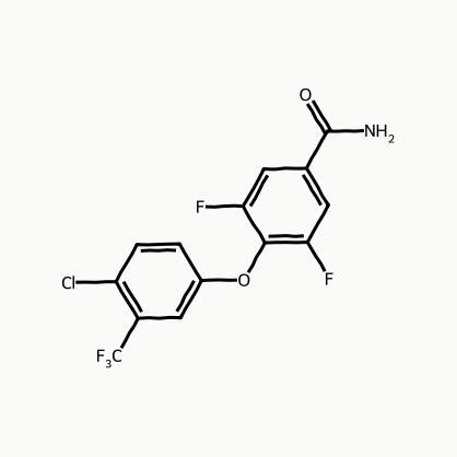 NC(=O)c1cc(F)c(Oc2ccc(Cl)c(C(F)(F)F)c2)c(F)c1